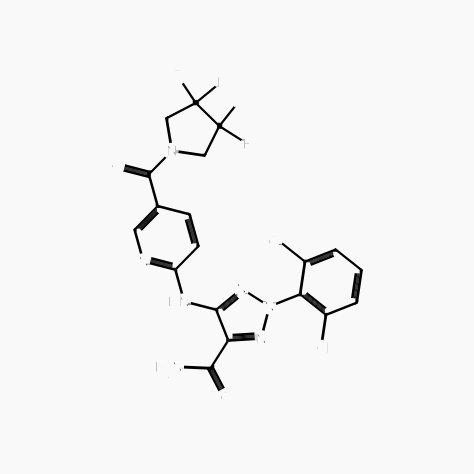 NC(=O)c1nn(-c2c(Cl)cccc2Cl)nc1Nc1ccc(C(=O)N2CC(F)(F)C(F)(F)C2)cn1